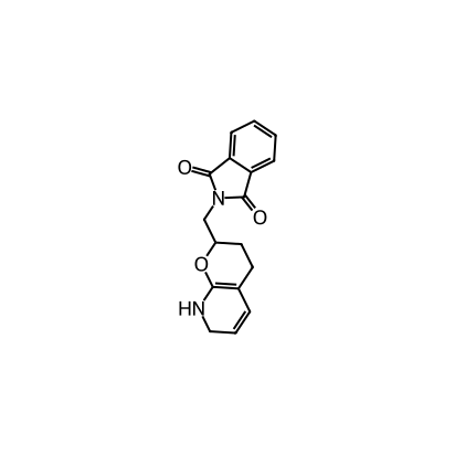 O=C1c2ccccc2C(=O)N1CC1CCC2=C(NCC=C2)O1